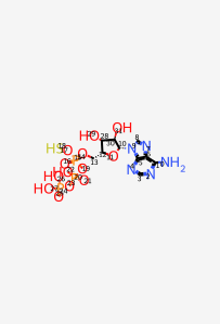 Nc1ncnc2c1ncn2[C@@H]1O[C@H](COP(=O)(OS)OP(=O)(O)OP(=O)(O)O)[C@@H](O)[C@H]1O